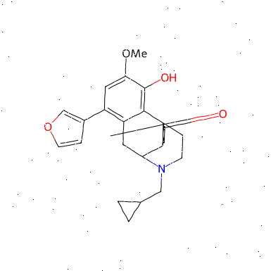 COc1cc(-c2ccoc2)c2c(c1O)C13CCN(CC4CC4)C(C2)C1CCC(=O)C3